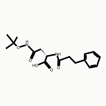 CC(C)(C)ONC(=O)C[C@H](NC(=O)CCc1ccccc1)C(=O)O